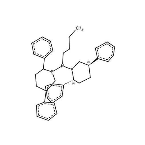 CCCCN(P1CC(c2ccccc2)CCC1c1ccccc1)P1C[C@@H](c2ccccc2)CC[C@@H]1c1ccccc1